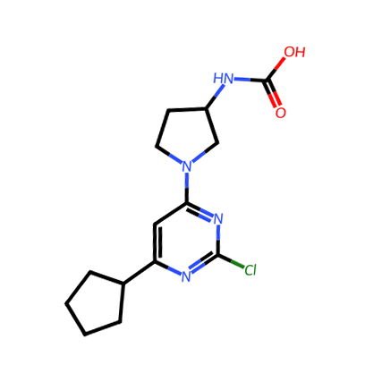 O=C(O)NC1CCN(c2cc(C3CCCC3)nc(Cl)n2)C1